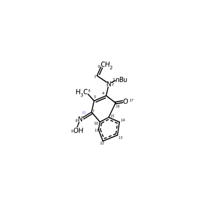 C=CN(CCCC)C1=C(C)/C(=N/O)c2ccccc2C1=O